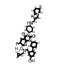 CN(Cc1cc(O)ccc1-c1cccc(-n2c(=O)n([C@H]3CC[C@@H](NCc4cn5cc(F)ccc5n4)CC3)c(=O)c3cc(F)cnc32)c1)CC1CC1